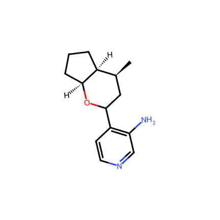 C[C@H]1CC(c2ccncc2N)O[C@H]2CCC[C@H]21